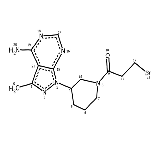 Cc1nn(C2CCCN(C(=O)CCBr)C2)c2ncnc(N)c12